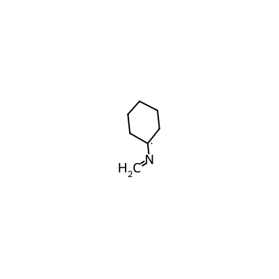 C=N[C]1CCCCC1